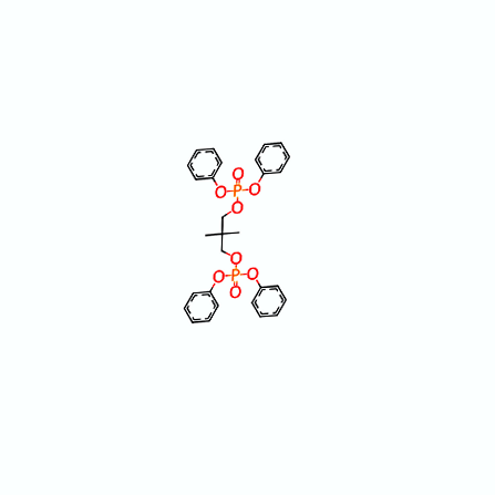 CC(C)(COP(=O)(Oc1ccccc1)Oc1ccccc1)COP(=O)(Oc1ccccc1)Oc1ccccc1